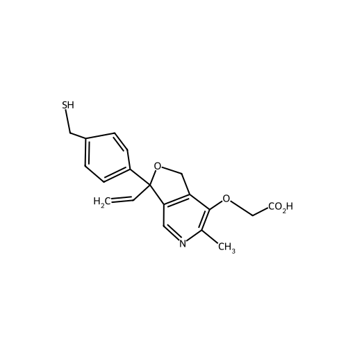 C=CC1(c2ccc(CS)cc2)OCc2c1cnc(C)c2OCC(=O)O